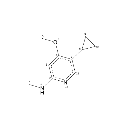 CNc1cc(OC)c(C2CC2)cn1